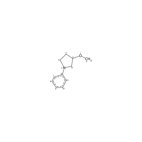 COC1CCN(c2ccccc2)C1